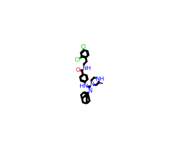 C[C@H]1CN(/C(=N/C2C3CC4CC(C3)CC2C4)Nc2ccc(C(=O)NCCc3ccc(Cl)cc3Cl)cc2)CCN1